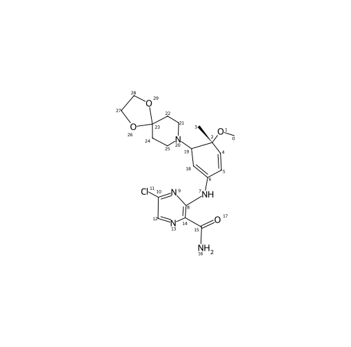 CO[C@]1(C)C=CC(Nc2nc(Cl)cnc2C(N)=O)=CC1N1CCC2(CC1)OCCO2